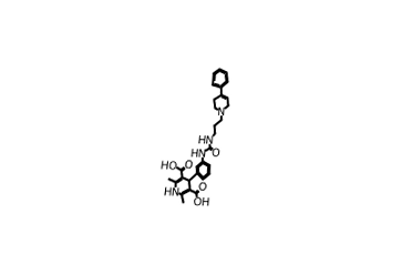 CC1=C(C(=O)O)C(c2cccc(NC(=O)NCCCN3CC=C(c4ccccc4)CC3)c2)C(C(=O)O)=C(C)N1